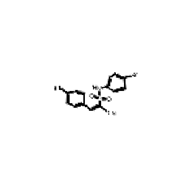 N#C/C(=C/c1ccc(Cl)cc1)S(=O)(=O)Nc1ccc(Br)cc1